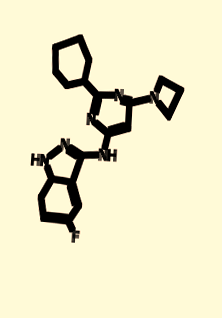 FC1=CCC2NN=C(Nc3cc(N4CCC4)nc(C4CCCCC4)n3)C2=C1